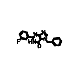 O=c1[nH]c(-c2cccc(F)c2)nc2ncn(Cc3ccccc3)c12